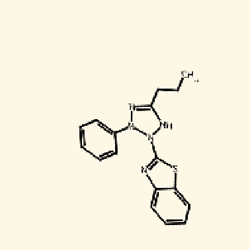 CCCC1=NN(c2ccccc2)N(c2nc3ccccc3s2)N1